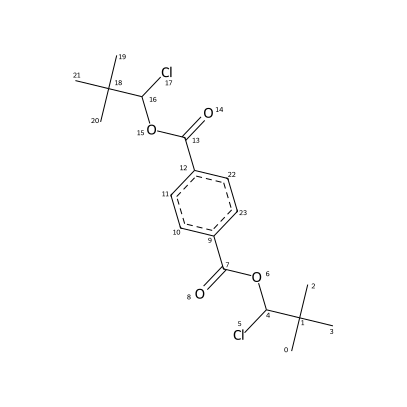 CC(C)(C)C(Cl)OC(=O)c1ccc(C(=O)OC(Cl)C(C)(C)C)cc1